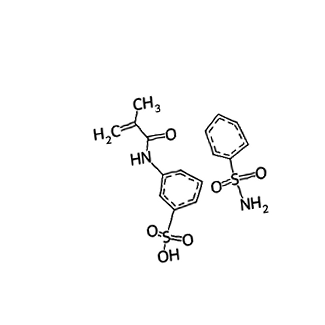 C=C(C)C(=O)Nc1cccc(S(=O)(=O)O)c1.NS(=O)(=O)c1ccccc1